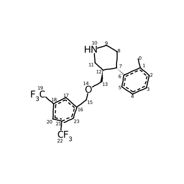 Cc1ccccc1[C@H]1CCNC[C@@H]1COCc1cc(C(F)(F)F)cc(C(F)(F)F)c1